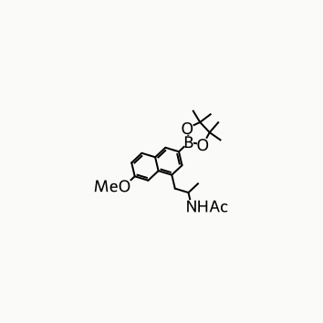 COc1ccc2cc(B3OC(C)(C)C(C)(C)O3)cc(CC(C)NC(C)=O)c2c1